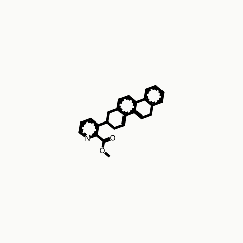 COC(=O)c1ncccc1C1CC=c2c(ccc3c2=CCc2ccccc2-3)C1